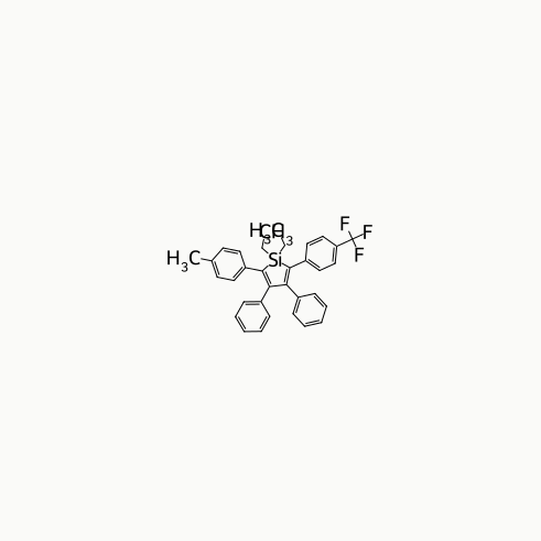 CC[Si]1(CC)C(c2ccc(C)cc2)=C(c2ccccc2)C(c2ccccc2)=C1c1ccc(C(F)(F)F)cc1